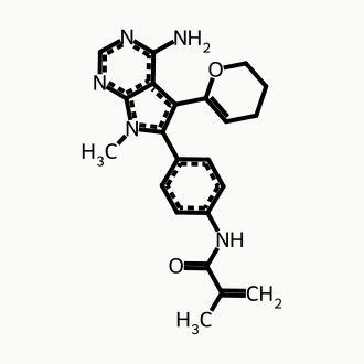 C=C(C)C(=O)Nc1ccc(-c2c(C3=CCCCO3)c3c(N)ncnc3n2C)cc1